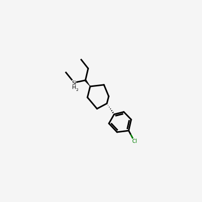 CCC([SiH2]C)[C@H]1CC[C@H](c2ccc(Cl)cc2)CC1